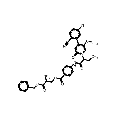 CCC(C(=O)Nc1ccc(C(=O)OCC(N)C(=O)OCc2ccccc2)cc1)n1cc(OC)c(-c2cc(Cl)ccc2C#N)cc1=O